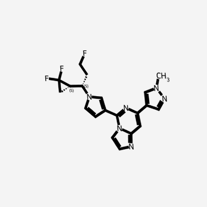 Cn1cc(-c2cc3nccn3c(-c3ccn([C@@H](CCF)[C@@H]4CC4(F)F)c3)n2)cn1